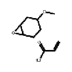 C=CC(=O)O.COC1CCC2OC2C1